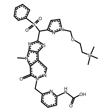 Cn1c2nc(C(c3ccn(COCC[Si](C)(C)C)n3)S(=O)(=O)c3ccccc3)sc2c2cnn(Cc3cccc(NC(=O)O)n3)c(=O)c21